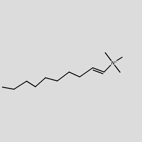 CCCCCCCC/C=C/[N+](C)(C)C